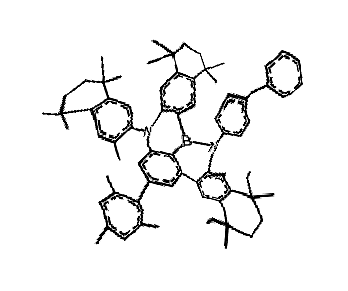 Cc1cc(C)c(-c2cc3c4c(c2)N(c2cc5c(cc2C)C(C)(C)CCC5(C)C)c2cc5c(cc2B4N(c2ccc(-c4ccccc4)cc2)c2cc4c(cc2-3)C(C)(C)CCC4(C)C)C(C)(C)CCC5(C)C)c(C)c1